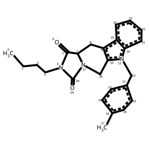 CCCCN1C(=O)C2Cc3c(n(Cc4ccc(C)cc4)c4ccccc34)CN2C1=O